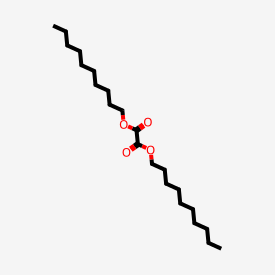 CCCCCCCCCCOC(=O)C(=O)OCCCCCCCCCC